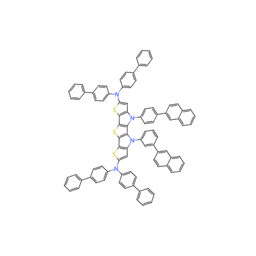 c1ccc(-c2ccc(N(c3ccc(-c4ccccc4)cc3)c3cc4c(s3)c3sc5c6sc(N(c7ccc(-c8ccccc8)cc7)c7ccc(-c8ccccc8)cc7)cc6n(-c6cccc(-c7ccc8ccccc8c7)c6)c5c3n4-c3ccc(-c4ccc5ccccc5c4)cc3)cc2)cc1